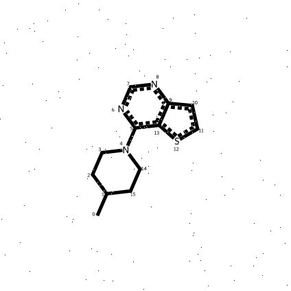 CC1CCN(c2ncnc3ccsc23)CC1